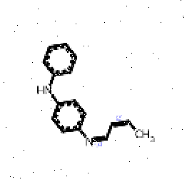 C/C=C\C=N/c1ccc(Nc2ccccc2)cc1